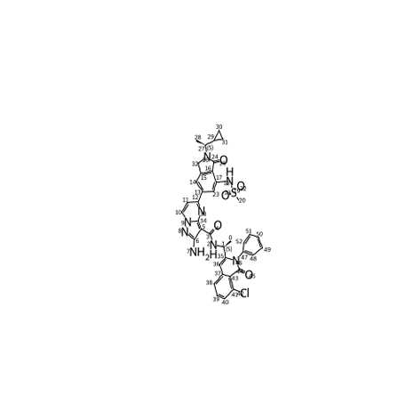 C[C@H](NC(=O)c1c(N)nn2ccc(-c3cc4c(c(NS(C)(=O)=O)c3)C(=O)N([C@@H](C)C3CC3)C4)nc12)c1cc2cccc(Cl)c2c(=O)n1-c1ccccc1